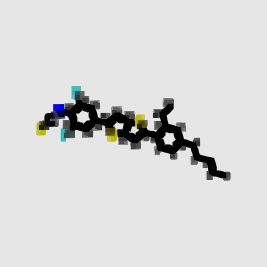 C/C=C/CCc1ccc(-c2cc3sc(-c4cc(F)c(N=C=S)c(F)c4)cc3s2)c(CC)c1